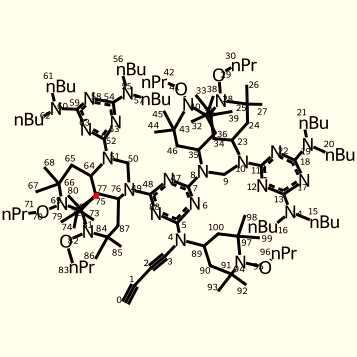 C#CC#CN(c1nc(N(CN(c2nc(N(CCCC)CCCC)nc(N(CCCC)CCCC)n2)C2CC(C)(C)N(OCCC)C(C)(C)C2)C2CC(C)(C)N(OCCC)C(C)(C)C2)nc(N(CN(c2nc(N(CCCC)CCCC)nc(N(CCCC)CCCC)n2)C2CC(C)(C)N(OCCC)C(C)(C)C2)C2CC(C)(C)N(OCCC)C(C)(C)C2)n1)C1CC(C)(C)N(OCCC)C(C)(C)C1